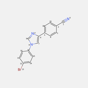 N#Cc1ccc(-c2cn(-c3ccc(Br)cc3)cn2)cc1